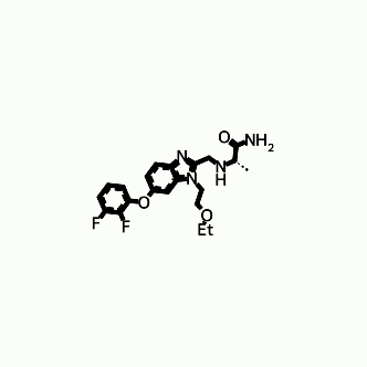 CCOCCn1c(CN[C@@H](C)C(N)=O)nc2ccc(Oc3cccc(F)c3F)cc21